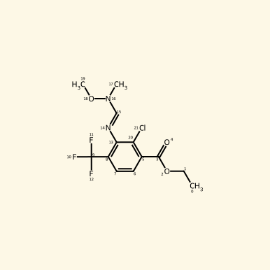 CCOC(=O)c1ccc(C(F)(F)F)c(/N=C/N(C)OC)c1Cl